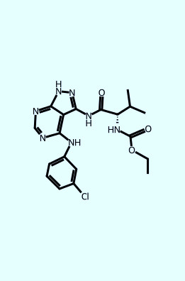 CCOC(=O)N[C@H](C(=O)Nc1n[nH]c2ncnc(Nc3cccc(Cl)c3)c12)C(C)C